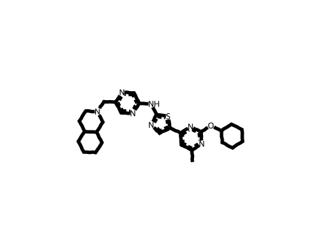 Cc1cc(-c2cnc(Nc3cnc(CN4CCC5CCCCC5C4)cn3)s2)nc(OC2CCCCC2)n1